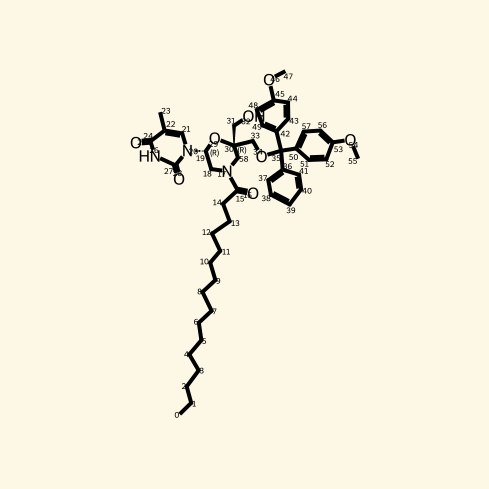 CCCCCCCCCCCCCCCC(=O)N1C[C@H](n2cc(C)c(=O)[nH]c2=O)O[C@](CO)(COC(c2ccccc2)(c2ccc(OC)cc2)c2ccc(OC)cc2)C1